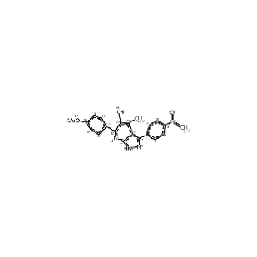 C=[N+]([O-])c1ccc(-c2n[nH]c3nc(-c4ccc(OC)cc4)c(C#N)c(C)c23)cc1